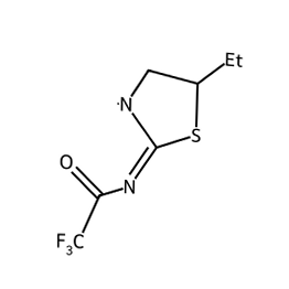 CCC1C[N]C(=NC(=O)C(F)(F)F)S1